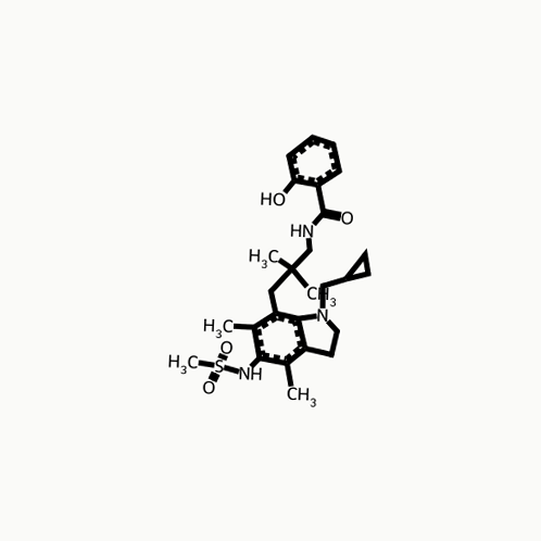 Cc1c2c(c(CC(C)(C)CNC(=O)c3ccccc3O)c(C)c1NS(C)(=O)=O)N(CC1CC1)CC2